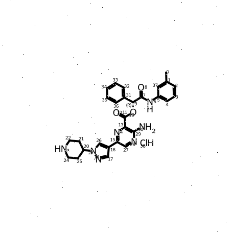 Cc1cccc(NC(=O)[C@H](OC(=O)c2nc(-c3cnn(C4CCNCC4)c3)cnc2N)c2ccccc2)c1.Cl